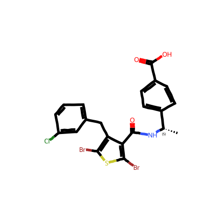 C[C@H](NC(=O)c1c(Br)sc(Br)c1Cc1cccc(Cl)c1)c1ccc(C(=O)O)cc1